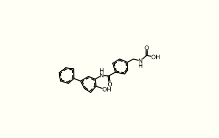 O=C(O)NCc1ccc(C(=O)Nc2cc(-c3ccccc3)ccc2O)cc1